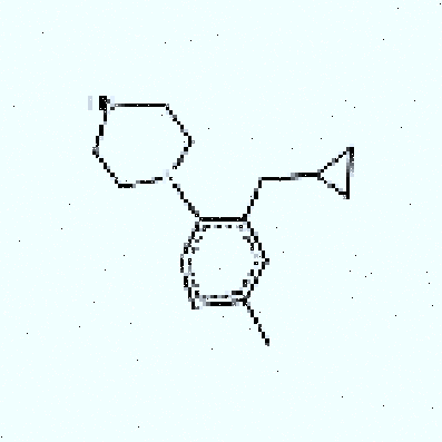 Cc1ccc(N2CCNCC2)c(CC2CC2)c1